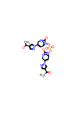 CC(=O)c1cnn(C2=CC3CN(C2)C(=O)N3OS(=O)(=O)ON2C(=O)N3CC(n4cc(C(C)=O)cn4)=CC2C3)c1